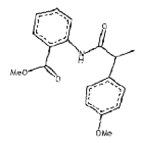 COC(=O)c1ccccc1NC(=O)C(C)c1ccc(OC)cc1